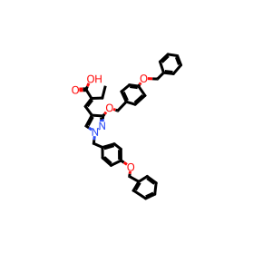 CCC(=Cc1cn(Cc2ccc(OCc3ccccc3)cc2)nc1OCc1ccc(OCc2ccccc2)cc1)C(=O)O